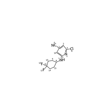 N#Cc1cc(Cl)nc(NC2CCC(F)(F)CC2)c1